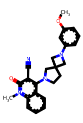 COc1cccc(N2CC3(CCN(c4c(C#N)c(=O)n(C)c5ccccc45)C3)C2)c1